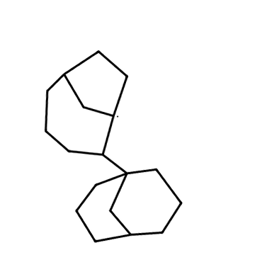 C1CC2CC[C](C2)C(C23CCCC(CCC2)C3)C1